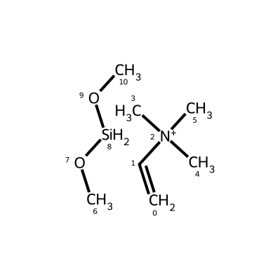 C=C[N+](C)(C)C.CO[SiH2]OC